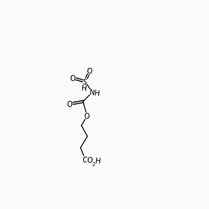 O=C(O)CCCOC(=O)N[SH](=O)=O